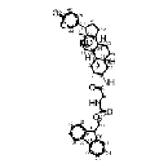 C[C@]12CC[C@H](NC(=O)CNC(=O)OCC3c4ccccc4-c4ccccc43)C[C@H]1CC[C@@H]1[C@@H]2CC[C@]2(C)[C@@H](c3ccc(=O)oc3)CC[C@]12O